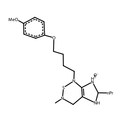 CCCC1NC2=C(N(CCCCOc3ccc(OC)cc3)SN(C)C2)[NH+]1[O-]